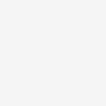 CCOC(=O)c1sc(N2CCOCC2)nc1CC(C#N)c1nc(N2CCOCC2)sc1C(=O)OCC